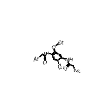 CCOc1cc(NC(=O)CC(C)=O)c(Cl)cc1NC(=O)CC(C)=O